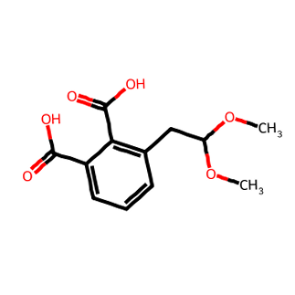 COC(Cc1cccc(C(=O)O)c1C(=O)O)OC